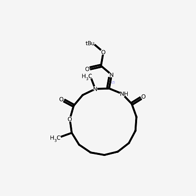 CC1CCCCCCCC(=O)N/C(=N/C(=O)OC(C)(C)C)N(C)CC(=O)O1